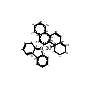 C1=CCC2=Nc3ccccc3C2=C1.CCC(C)C12CCCC=C1C=Cc1c2ccc2ccccc12